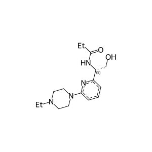 CCC(=O)N[C@H](CO)c1cccc(N2CCN(CC)CC2)n1